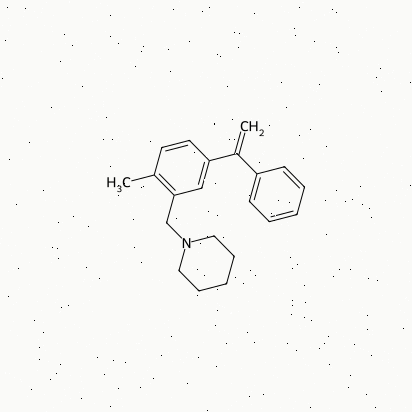 C=C(c1ccccc1)c1ccc(C)c(CN2CCCCC2)c1